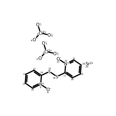 [O-][Cl+2]([O-])[O-].[O-][Cl+2]([O-])[O-].[O-][n+]1ccccc1SSc1cccc[n+]1[O-].[Sr+2]